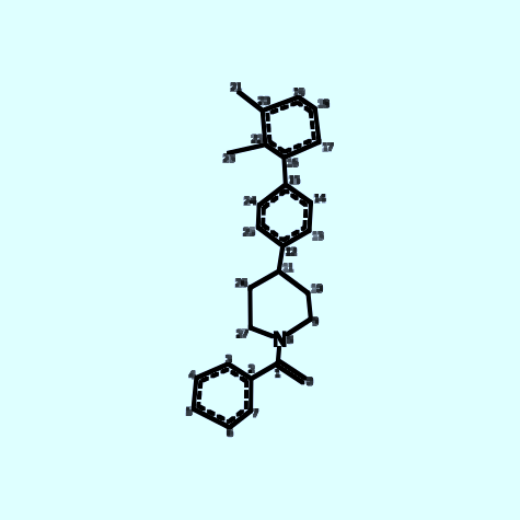 C=C(c1ccccc1)N1CCC(c2ccc(-c3cccc(C)c3C)cc2)CC1